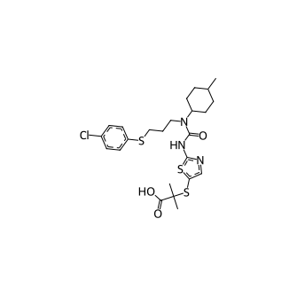 CC1CCC(N(CCCSc2ccc(Cl)cc2)C(=O)Nc2ncc(SC(C)(C)C(=O)O)s2)CC1